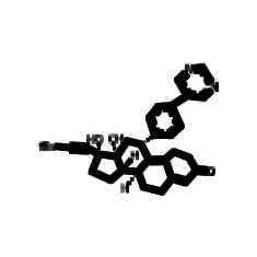 CC(C)(C)C#C[C@]1(O)CC[C@H]2[C@@H]3CCC4=CC(=O)CCC4=C3[C@@H](c3ccc(-c4cncnc4)cc3)C[C@@]21C